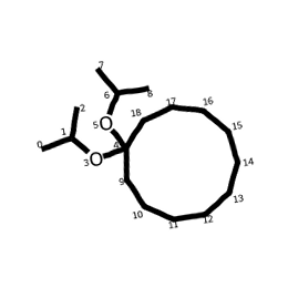 CC(C)OC1(OC(C)C)CCCCCCCCCC1